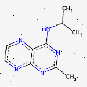 Cc1nc(NC(C)C)c2nccnc2n1